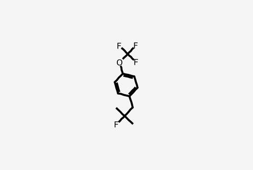 CC(C)(F)Cc1ccc(OC(F)(F)F)cc1